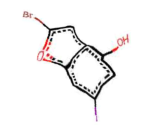 Oc1cc(I)cc2oc(Br)cc12